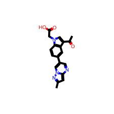 CC(=O)c1cn(CC(=O)O)c2ccc(-c3cnc4cc(C)nn4c3)cc12